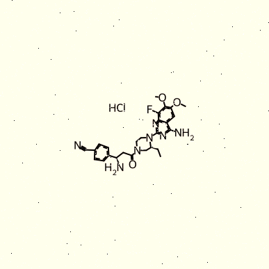 CC[C@H]1CN(C(=O)C[C@@H](N)c2ccc(C#N)cc2)CCN1c1nc(N)c2cc(OC)c(OC)c(F)c2n1.Cl